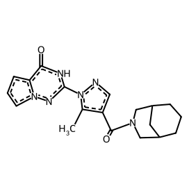 Cc1c(C(=O)N2CC3CCCC(C3)C2)cnn1-c1nn2cccc2c(=O)[nH]1